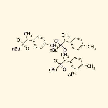 CCCCP(=O)([O-])C(C)c1ccc(C)cc1.CCCCP(=O)([O-])C(C)c1ccc(C)cc1.CCCCP(=O)([O-])C(C)c1ccc(C)cc1.[Al+3]